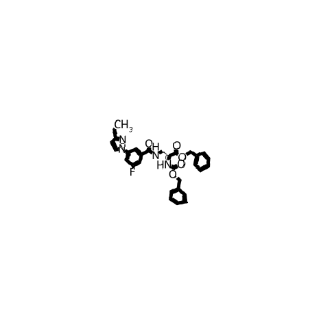 CCc1ccn(-c2cc(F)cc(C(=O)NC[C@@H](NC(=O)OCc3ccccc3)C(=O)OCc3ccccc3)c2)n1